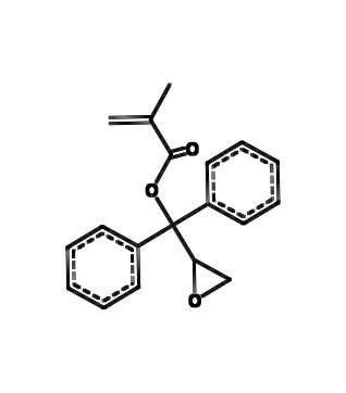 C=C(C)C(=O)OC(c1ccccc1)(c1ccccc1)C1CO1